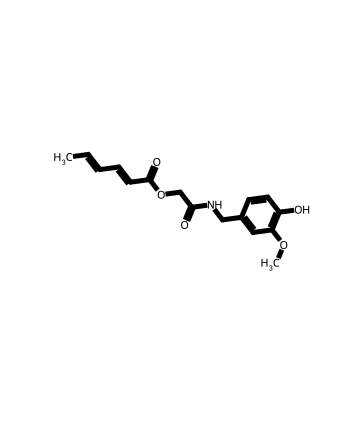 C/C=C/C=C/C(=O)OCC(=O)NCc1ccc(O)c(OC)c1